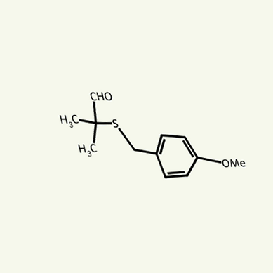 COc1ccc(CSC(C)(C)C=O)cc1